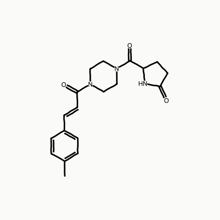 Cc1ccc(C=CC(=O)N2CCN(C(=O)C3CCC(=O)N3)CC2)cc1